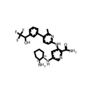 Cc1nc(Nc2cc(N[C@@H]3CCCC[C@@H]3N)cnc2C(N)=O)ccc1-c1cccc(C(O)C(F)(F)F)c1